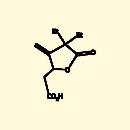 C=C1C(CC(=O)O)OC(=O)C1(CC)CC